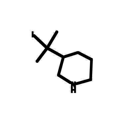 CC(C)(I)C1CCCNC1